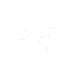 CCOP(=O)([O-])OCC.CCn1cc[n+](CC)c1